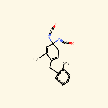 CC1=CC(N=C=O)(N=C=O)CC=C1Cc1ccccc1C